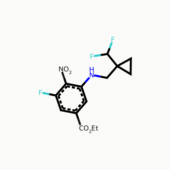 CCOC(=O)c1cc(F)c([N+](=O)[O-])c(NCC2(C(F)F)CC2)c1